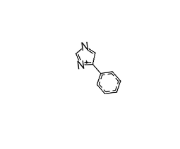 C1=NC=[N+]=C1c1ccccc1